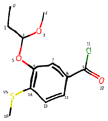 CCC(OC)Oc1cc(C(=O)Cl)ccc1SC